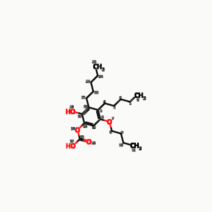 CCCCCc1c(OCCCC)cc(OC(=O)O)c(O)c1CCCCC